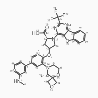 CNc1cc(-c2cnc(O[C@H]3C[C@@H](C(=O)O)N(c4nc(C(F)(F)F)nc5c4oc4ccccc45)C3)c(N3CCOC4(COC4)[C@@H]3C)c2)ccn1